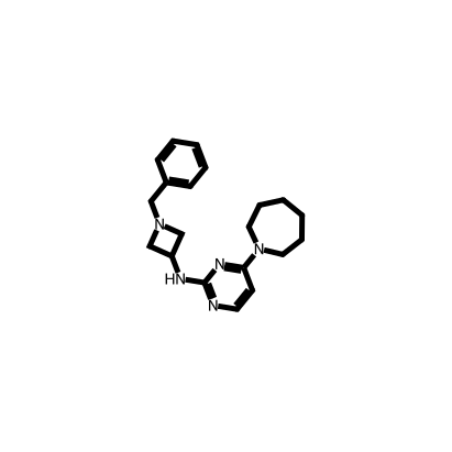 c1ccc(CN2CC(Nc3nccc(N4CCCCCC4)n3)C2)cc1